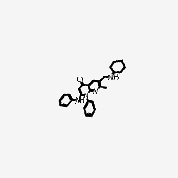 Cc1nc2c(cc1CNC1CCCCC1)c(=O)cc(Nc1ccccc1)n2-c1ccccc1